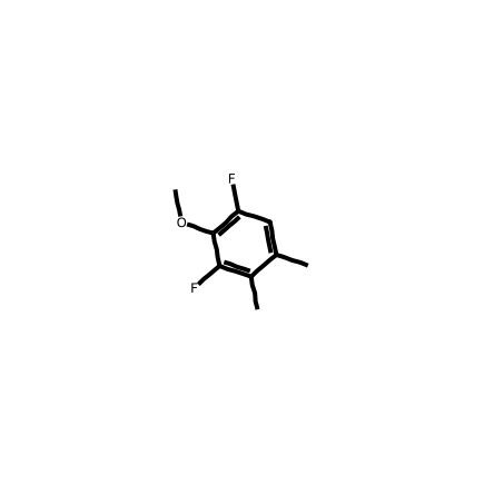 COc1c(F)cc(C)c(C)c1F